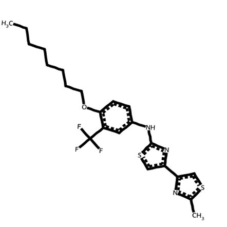 CCCCCCCCOc1ccc(Nc2nc(-c3csc(C)n3)cs2)cc1C(F)(F)F